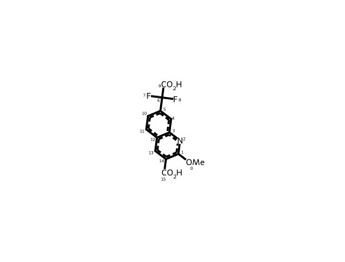 COc1nc2cc(C(F)(F)C(=O)O)ccc2cc1C(=O)O